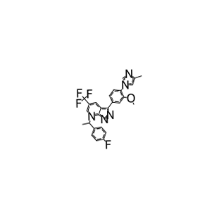 COc1cc(-c2nnc3n(C(C)c4ccc(F)cc4)cc(C(F)(F)F)cc2-3)ccc1-n1cnc(C)c1